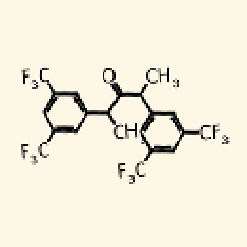 CC(C(=O)C(C)c1cc(C(F)(F)F)cc(C(F)(F)F)c1)c1cc(C(F)(F)F)cc(C(F)(F)F)c1